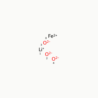 [Fe+2].[Li+].[O-2].[O-2].[O-2]